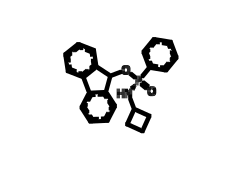 O=[P@](NC1CCC1)(OC1c2ccccc2-c2ccccc21)c1ccccc1